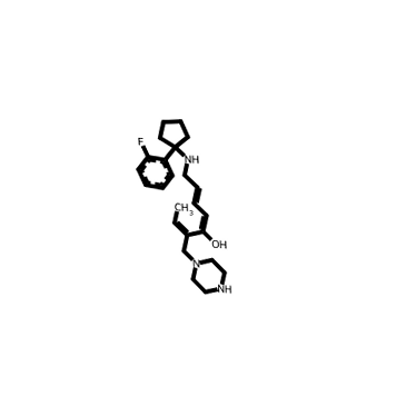 C\C=C(CN1CCNCC1)/C(O)=C\C=C\CNC1(c2ccccc2F)CCCC1